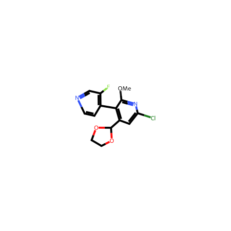 COc1nc(Cl)cc(C2OCCO2)c1-c1ccncc1F